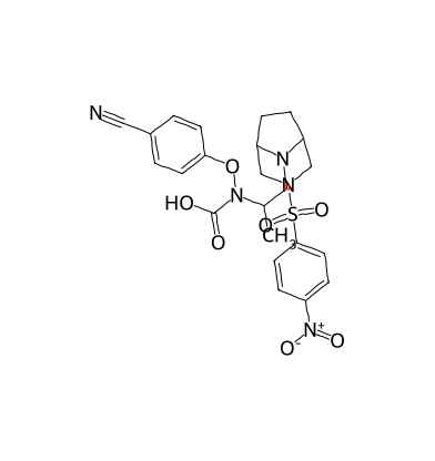 CC(CN1C2CCC1CN(S(=O)(=O)c1ccc([N+](=O)[O-])cc1)C2)N(Oc1ccc(C#N)cc1)C(=O)O